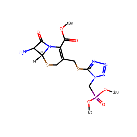 CCOP(=O)(Cn1nnnc1SCC1=C(C(=O)OC(C)(C)C)N2C(=O)C(N)[C@H]2SC1)OC(C)(C)C